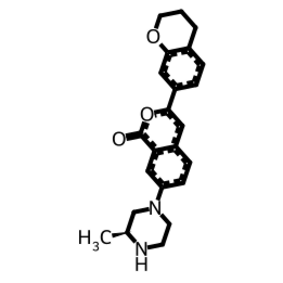 C[C@H]1CN(c2ccc3cc(-c4ccc5c(c4)OCCC5)oc(=O)c3c2)CCN1